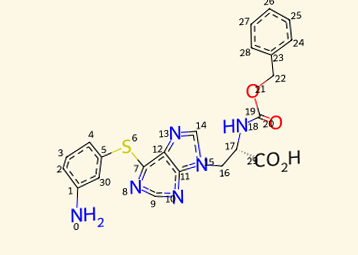 Nc1cccc(Sc2ncnc3c2ncn3C[C@H](NC(=O)OCc2ccccc2)C(=O)O)c1